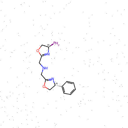 P[C@@H]1COC(CNCC2=N[C@H](c3ccccc3)CO2)=N1